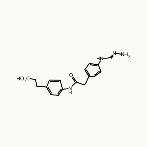 NN=CNc1ccc(CC(=O)Nc2ccc(CCC(=O)O)cc2)cc1